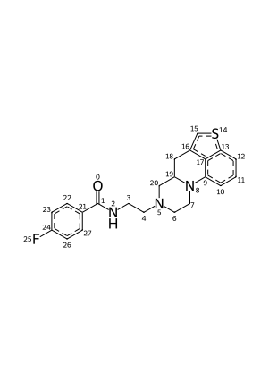 O=C(NCCN1CCN2c3cccc4scc(c34)CC2C1)c1ccc(F)cc1